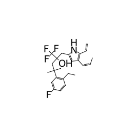 C=Cc1[nH]c(CC(O)(CC(C)(C)c2cc(F)ccc2CC)C(F)(F)F)cc1/C=C\C